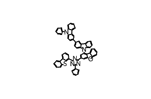 c1ccc(-c2nc(-c3cc(-n4c5ccccc5c5cc(-c6ccc7c(c6)c6ccccc6n7-c6ccccc6)ccc54)c4c(c3)oc3ccccc34)nc(-c3cccc4c3sc3ccccc34)n2)cc1